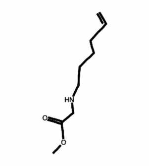 C=CCCCCNCC(=O)OC